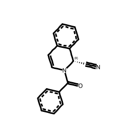 N#C[C@H]1c2ccccc2C=CN1C(=O)c1ccccc1